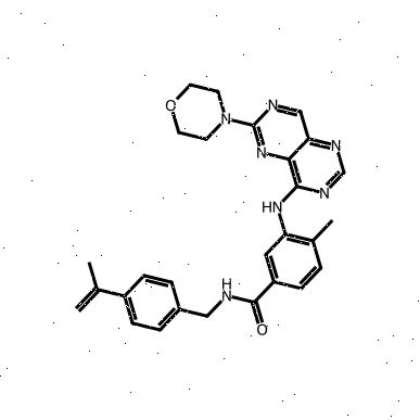 C=C(C)c1ccc(CNC(=O)c2ccc(C)c(Nc3ncnc4cnc(N5CCOCC5)nc34)c2)cc1